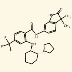 CC1(C)C(=O)Nc2cc(NC(=O)c3ccc(C(F)(F)F)cc3N[C@@H]3CCCC[C@H]3N3CCCC3)ccc21